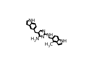 Cc1c(CNc2ncc(Cc3ccc4[nH]ccc4c3)c(N)n2)ccc2[nH]ccc12